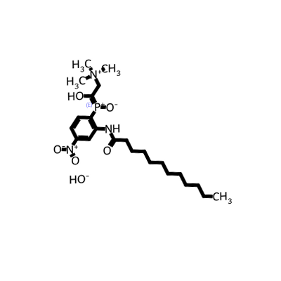 CCCCCCCCCCCC(=O)Nc1cc([N+](=O)[O-])ccc1/[P+]([O-])=C(\O)C[N+](C)(C)C.[OH-]